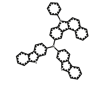 c1ccc(-n2c3ccc(N(c4ccc5c(c4)sc4ccccc45)c4ccc5c(c4)sc4ccccc45)cc3c3c4ccccc4ccc32)cc1